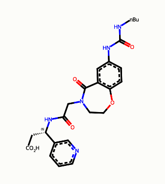 CCCCNC(=O)Nc1ccc2c(c1)C(=O)N(CC(=O)N[C@@H](CC(=O)O)c1cccnc1)CCO2